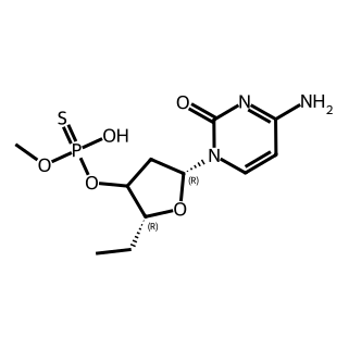 CC[C@H]1O[C@@H](n2ccc(N)nc2=O)CC1OP(O)(=S)OC